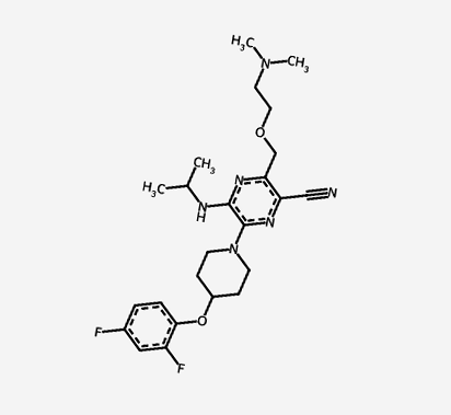 CC(C)Nc1nc(COCCN(C)C)c(C#N)nc1N1CCC(Oc2ccc(F)cc2F)CC1